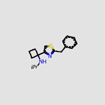 CC(C)NC1(c2csc(Cc3ccccc3)n2)CCC1